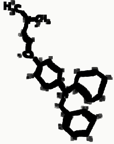 CN(C)CCOc1ccc(N(Cc2ccccc2)c2ccccc2)cc1